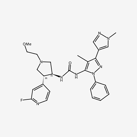 COCCN1C[C@@H](NC(=O)Nc2c(C)c(-c3cnn(C)c3)nn2-c2ccccc2)[C@H](c2ccnc(F)c2)C1